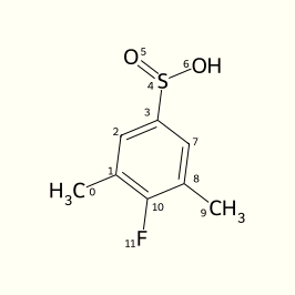 Cc1cc(S(=O)O)cc(C)c1F